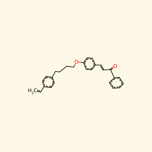 C=Cc1ccc(CCCCOc2ccc(C=CC(=O)c3ccccc3)cc2)cc1